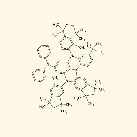 Cc1cc2c(cc1N1c3cc4c(cc3B3c5ccc(C(C)(C)C)cc5N(c5ccc6c(c5C)C(C)(C)CCC6(C)C)c5cc(N(c6ccccc6)c6ccccc6)cc1c53)C(C)(C)CC4(C)C)C(C)(C)CC2(C)C